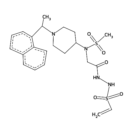 C=CS(=O)(=O)NNC(=O)CN(C1CCN(C(C)c2cccc3ccccc23)CC1)S(C)(=O)=O